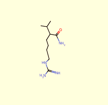 CC(C)C(CCCCNC(=N)N)C(N)=O